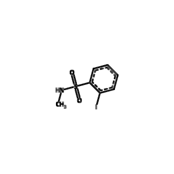 CNS(=O)(=O)c1ccccc1I